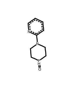 O=[PH]1CCN(c2ccccn2)CC1